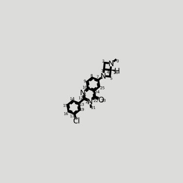 CN1CC2[C@H]1CN2c1ccc2nc(-c3cccc(Cl)c3)n(C)c(=O)c2c1